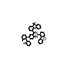 Cc1ccccc1-c1c(C)cccc1-c1ccc2nc(-c3cccc4oc5ccccc5c34)nc(-c3cccc4c3-c3ccccc3C4(C)C)c2c1